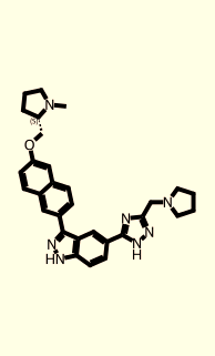 CN1CCC[C@H]1COc1ccc2cc(-c3n[nH]c4ccc(-c5nc(CN6CCCC6)n[nH]5)cc34)ccc2c1